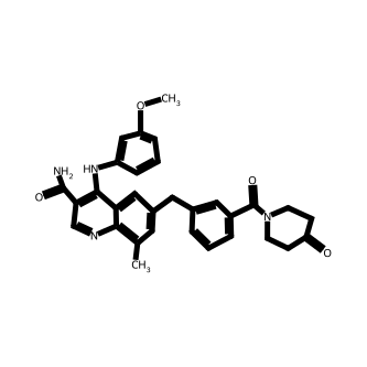 COc1cccc(Nc2c(C(N)=O)cnc3c(C)cc(Cc4cccc(C(=O)N5CCC(=O)CC5)c4)cc23)c1